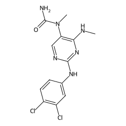 CNc1nc(Nc2ccc(Cl)c(Cl)c2)ncc1N(C)C(N)=O